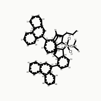 CCCC1=Cc2c(-c3cc4ccccc4c4ccccc34)cccc2[CH]1[Zr]([Cl])([Cl])([CH]1C(CCC)=Cc2c(-c3cc4ccccc4c4ccccc34)cccc21)[SiH](C)C